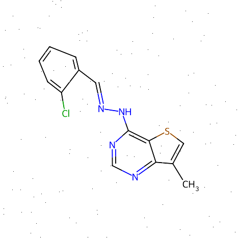 Cc1csc2c(NN=Cc3ccccc3Cl)ncnc12